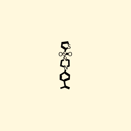 C=C(C)c1ccc(N2CCN(S(=O)(=O)c3cccs3)CC2)cc1